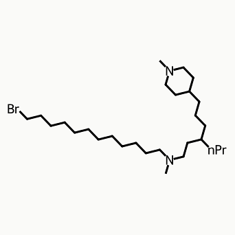 CCCC(CCCC1CCN(C)CC1)CCN(C)CCCCCCCCCCCCBr